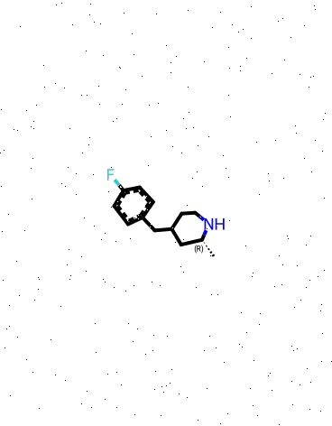 C[C@@H]1CC(Cc2ccc(F)cc2)CCN1